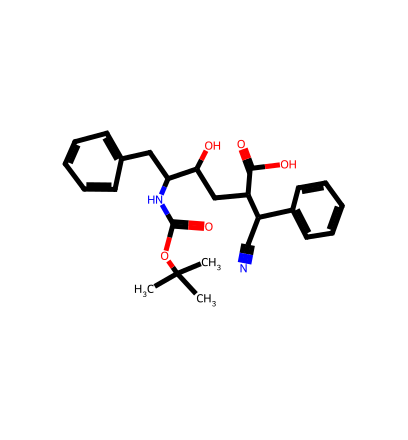 CC(C)(C)OC(=O)NC(Cc1ccccc1)C(O)CC(C(=O)O)C(C#N)c1ccccc1